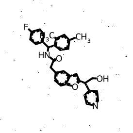 Cc1ccc(C(NC(=O)Cc2ccc3oc(C(CO)c4ccncc4)cc3c2)c2ccc(F)cc2)c(C)c1